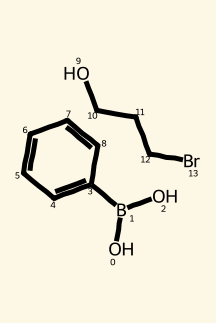 OB(O)c1ccccc1.OCCCBr